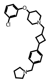 Clc1cccc(OC2CCN(CC3CC(c4ccc(CN5CCCC5)cc4)C3)CC2)c1